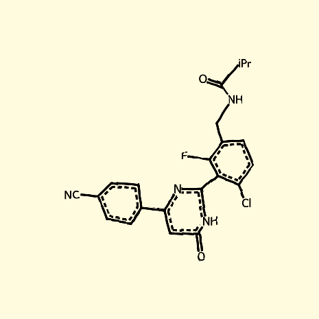 CC(C)C(=O)NCc1ccc(Cl)c(-c2nc(-c3ccc(C#N)cc3)cc(=O)[nH]2)c1F